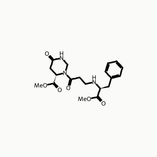 COC(=O)[C@H](Cc1ccccc1)NCCC(=O)N1CNC(=O)C[C@H]1C(=O)OC